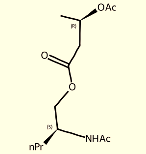 CCC[C@@H](COC(=O)C[C@@H](C)OC(C)=O)NC(C)=O